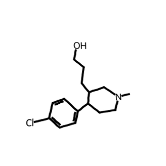 CN1CCC(c2ccc(Cl)cc2)C(CCCO)C1